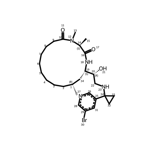 C[C@@H]1CCCCCCCCC(=O)N(C)[C@@H](C)C(=O)N[C@H]([C@H](O)CNC2(c3cncc(Br)c3)CC2)C1